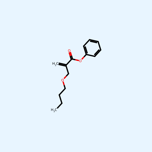 C=C(COCCCC)C(=O)Oc1ccccc1